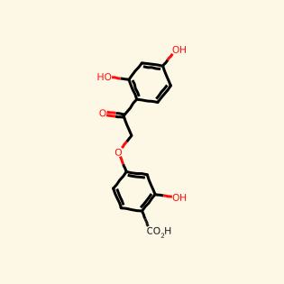 O=C(O)c1ccc(OCC(=O)c2ccc(O)cc2O)cc1O